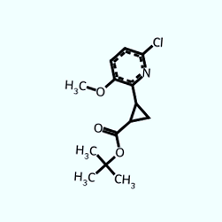 COc1ccc(Cl)nc1C1CC1C(=O)OC(C)(C)C